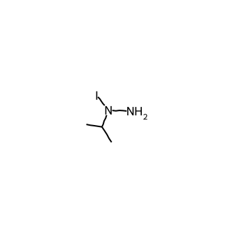 CC(C)N(N)I